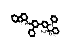 CC1(C)c2ccccc2N(c2ccccc2)c2ccc(-c3ccc(Nc4cccc5c4sc4ccccc45)c(C4C=CC=CC4)c3)cc21